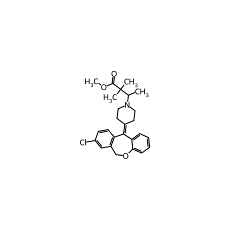 COC(=O)C(C)(C)C(C)N1CCC(=C2c3ccc(Cl)cc3COc3ccccc32)CC1